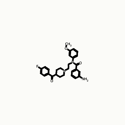 COc1cccc(N(CCN2CCC(C(=O)c3ccc(F)cc3)CC2)C(=O)c2cccc(N)c2)c1